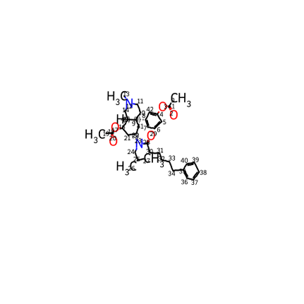 CC(=O)Oc1cccc([C@@]23CCN(C)C[C@H]2C(OC(C)=O)C[C@@H](N(CC(C)C)C(=O)CCCCCc2ccccc2)C3)c1